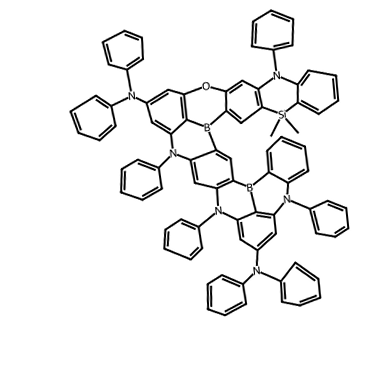 C[Si]1(C)c2ccccc2N(c2ccccc2)c2cc3c(cc21)B1c2cc4c(cc2N(c2ccccc2)c2cc(N(c5ccccc5)c5ccccc5)cc(c21)O3)N(c1ccccc1)c1cc(N(c2ccccc2)c2ccccc2)cc2c1B4c1ccccc1N2c1ccccc1